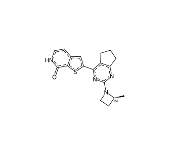 C[C@H]1CCN1c1nc2c(c(-c3cc4cc[nH]c(=O)c4s3)n1)CCC2